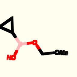 COCOB(O)C1CC1